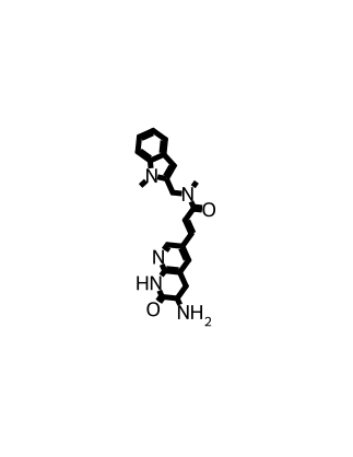 CN(Cc1cc2ccccc2n1C)C(=O)/C=C/c1cnc2c(c1)CC(N)C(=O)N2